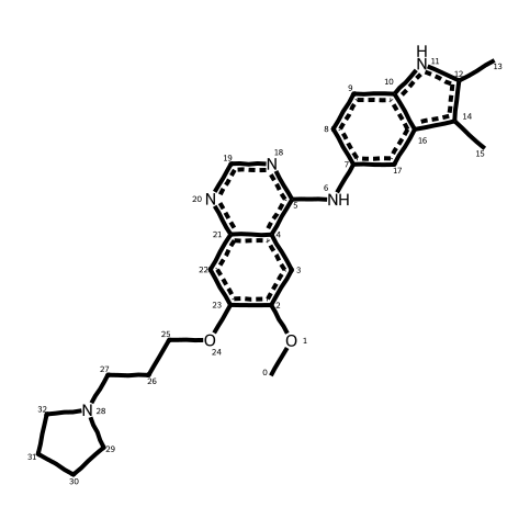 COc1cc2c(Nc3ccc4[nH]c(C)c(C)c4c3)ncnc2cc1OCCCN1CCCC1